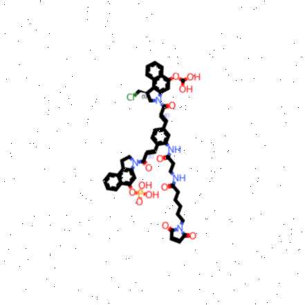 O=C(CCCCCN1C(=O)C=CC1=O)NCCC(=O)Nc1cc(/C=C/C(=O)N2C[C@@H](CCl)c3c2cc(OC(O)O)c2ccccc32)ccc1/C=C/C(=O)N1CCc2c1cc(OP(=O)(O)O)c1ccccc21